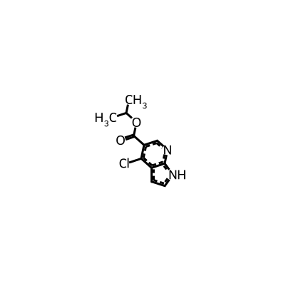 CC(C)OC(=O)c1cnc2[nH]ccc2c1Cl